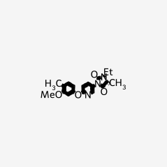 CCN1C(=O)N(c2ccc(Oc3ccc(C)c(OC)c3)nc2)C(=O)[C@H]1C